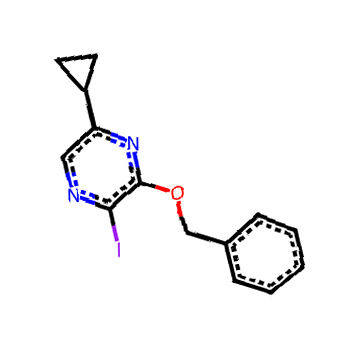 Ic1ncc(C2CC2)nc1OCc1ccccc1